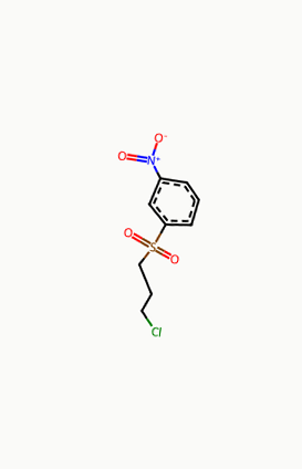 O=[N+]([O-])c1cccc(S(=O)(=O)CCCCl)c1